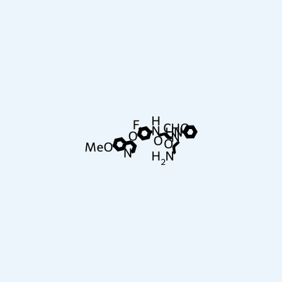 COc1ccc2c(Oc3ccc(NC(=O)/C(C=O)=C4\OC(CN)CN4Nc4ccccc4)cc3F)ccnc2c1